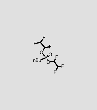 CCCCP(=O)(OC(F)C(F)F)OC(F)C(F)F